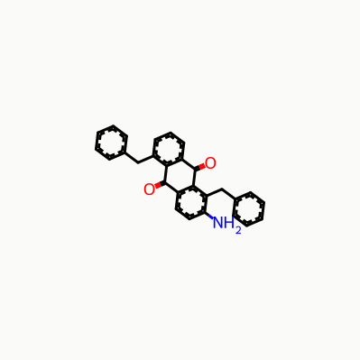 Nc1ccc2c(c1Cc1ccccc1)C(=O)c1cccc(Cc3ccccc3)c1C2=O